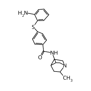 CC1CC2CCN1CC2NC(=O)c1ccc(Sc2ccccc2N)cc1